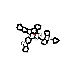 c1ccc(-c2nc(-c3cc4c(cc3-n3c5ccccc5c5cc6ccccc6cc53)oc3ccccc34)nc(-c3cccc4c3c3ccccc3n4-c3ccccc3)n2)cc1